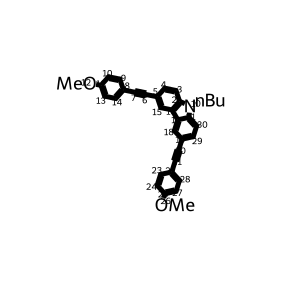 CCCCn1c2ccc(C#Cc3ccc(OC)cc3)cc2c2cc(C#Cc3ccc(OC)cc3)ccc21